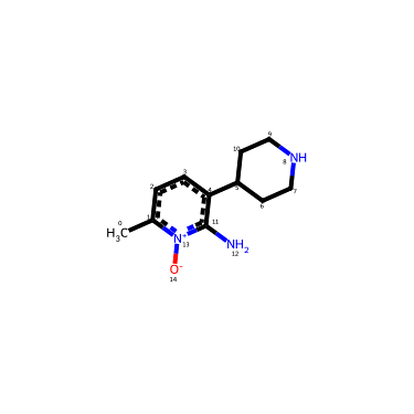 Cc1ccc(C2CCNCC2)c(N)[n+]1[O-]